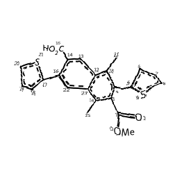 COC(=O)c1c(-c2cccs2)c(C)c2cc(C(=O)O)c(-c3cccs3)cc2c1C